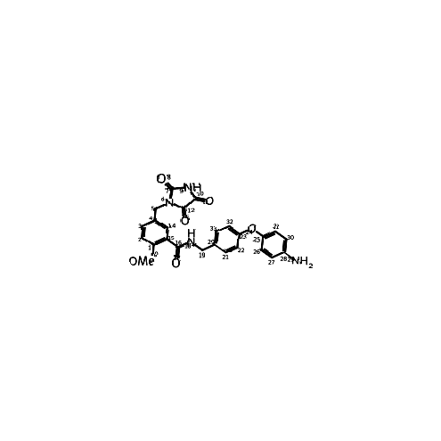 COc1ccc(CN2C(=O)NC(=O)C2=O)cc1C(=O)NCc1ccc(Oc2ccc(N)cc2)cc1